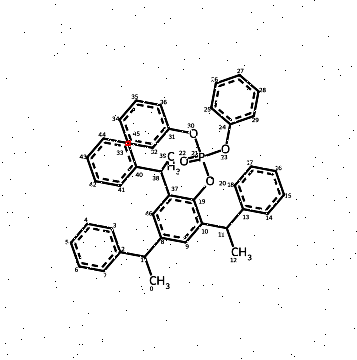 CC(c1ccccc1)c1cc(C(C)c2ccccc2)c(OP(=O)(Oc2ccccc2)Oc2ccccc2)c(C(C)c2ccccc2)c1